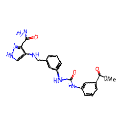 COC(=O)c1cccc(NC(=O)Nc2cccc(CNc3c[nH]nc3C(N)=O)c2)c1